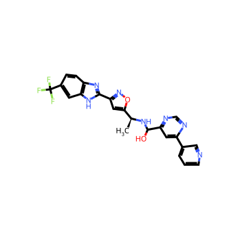 C[C@H](NC(O)c1cc(-c2cccnc2)ncn1)c1cc(-c2nc3ccc(C(F)(F)F)cc3[nH]2)no1